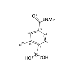 CNC(=O)c1ccc(B(O)O)c(F)c1